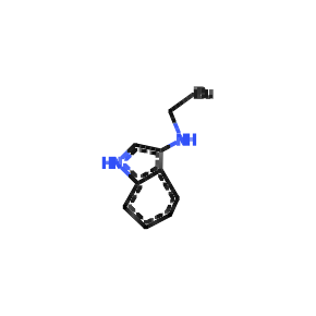 CCC(C)CNc1c[nH]c2ccccc12